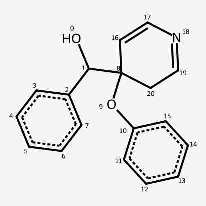 OC(c1ccccc1)C1(Oc2ccccc2)C=CN=CC1